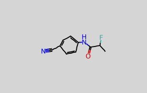 CC(F)C(=O)Nc1ccc(C#N)cc1